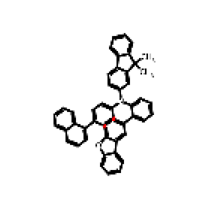 CC1(C)c2ccccc2-c2ccc(N(c3ccc(-c4cccc5ccccc45)cc3)c3ccccc3-c3ccc4oc5ccccc5c4c3)cc21